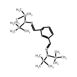 C[Si](C)(C)N(N=Cc1cccc(C=NN([Si](C)(C)C)[Si](C)(C)C)c1)[Si](C)(C)C